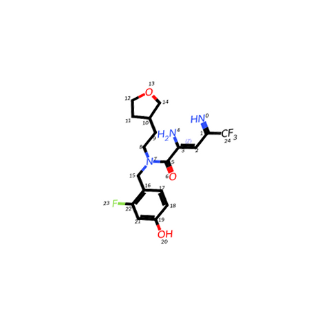 N=C(/C=C(\N)C(=O)N(CCC1CCOC1)Cc1ccc(O)cc1F)C(F)(F)F